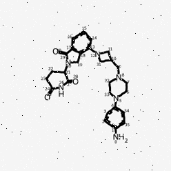 Nc1ccc(N2CCN(CC3CN(c4cccc5c4CN(C4CCC(=O)NC4=O)C5=O)C3)CC2)cc1